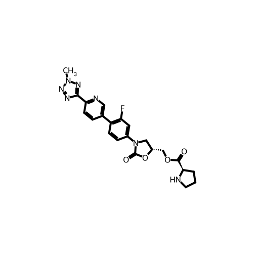 Cn1nnc(-c2ccc(-c3ccc(N4C[C@H](COC(=O)[C@H]5CCCN5)OC4=O)cc3F)cn2)n1